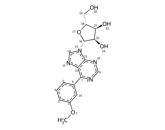 COc1cccc(-c2ncnc3c2ncn3[C@@H]2O[C@H](CO)[C@@H](O)[C@H]2O)c1